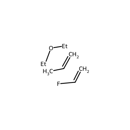 C=CC.C=CF.CCOCC